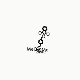 CO[Si](CCc1ccc(CON2C(=O)c3ccccc3C2=O)cc1)(OC)OC